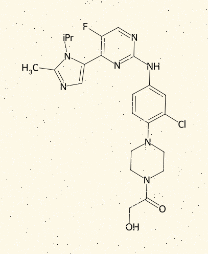 Cc1ncc(-c2nc(Nc3ccc(N4CCN(C(=O)CO)CC4)c(Cl)c3)ncc2F)n1C(C)C